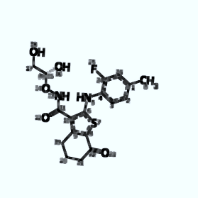 Cc1ccc(Nc2sc3c(c2C(=O)NO[C@@H](O)CO)CCCC3=O)c(F)c1